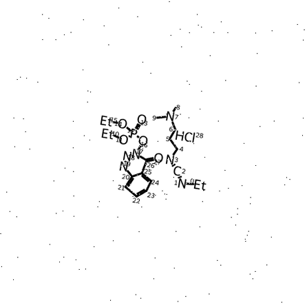 CCN=C=NCCCN(C)C.CCOP(=O)(OCC)On1nnc2ccccc2c1=O.Cl